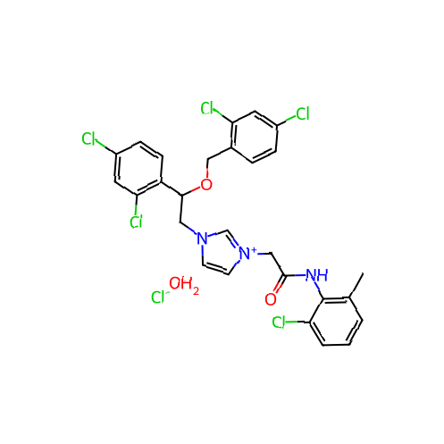 Cc1cccc(Cl)c1NC(=O)C[n+]1ccn(CC(OCc2ccc(Cl)cc2Cl)c2ccc(Cl)cc2Cl)c1.O.[Cl-]